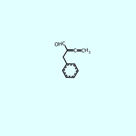 C=C=C(C=O)Cc1ccccc1